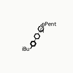 CCCCC[SiH]1CCC([C@H]2CC[C@H](c3ccc(C[C@@H](C)CC)cc3)CC2)CC1